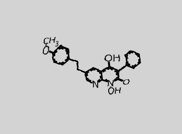 COc1ccc(CCc2cnc3c(c2)c(O)c(-c2ccccc2)c(=O)n3O)cc1